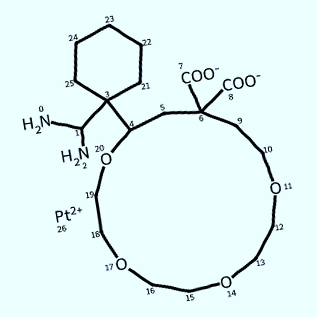 NC(N)C1(C2CC(C(=O)[O-])(C(=O)[O-])CCOCCOCCOCCO2)CCCCC1.[Pt+2]